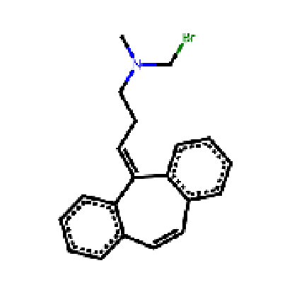 CN(CBr)CCC=C1c2ccccc2C=Cc2ccccc21